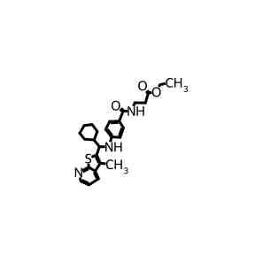 CCOC(=O)CCNC(=O)c1ccc(NC(c2sc3ncccc3c2C)C2CCCCC2)cc1